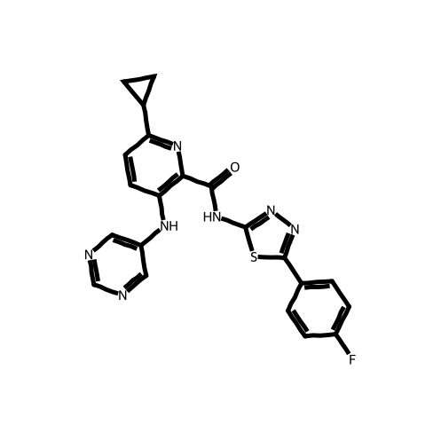 O=C(Nc1nnc(-c2ccc(F)cc2)s1)c1nc(C2CC2)ccc1Nc1cncnc1